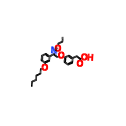 CCCCCCOc1cccc(/C(COc2cccc(CC(=O)O)c2)=N/OCCC)c1